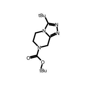 CC(C)(C)OC(=O)N1CCn2c(nnc2C(C)(C)C)C1